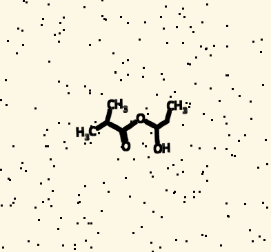 CCC(O)OC(=O)C(C)C